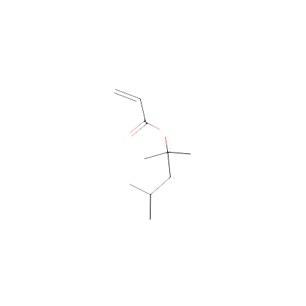 C=CC(=O)OC(C)(C)CC(C)C